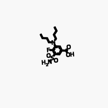 CCCCN(CCCC)c1cc(C(=O)O)cc(S(N)(=O)=O)c1F